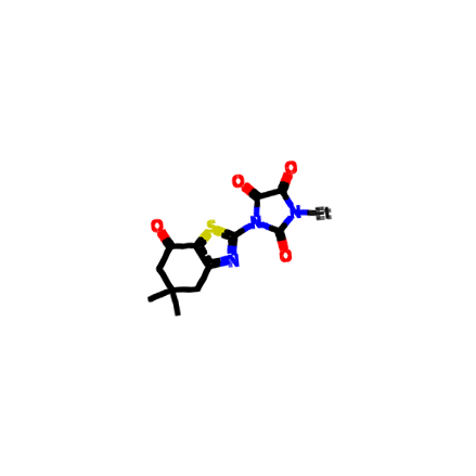 CCN1C(=O)C(=O)N(c2nc3c(s2)C(=O)CC(C)(C)C3)C1=O